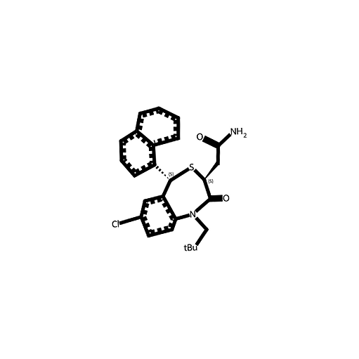 CC(C)(C)CN1C(=O)[C@H](CC(N)=O)S[C@@H](c2cccc3ccccc23)c2cc(Cl)ccc21